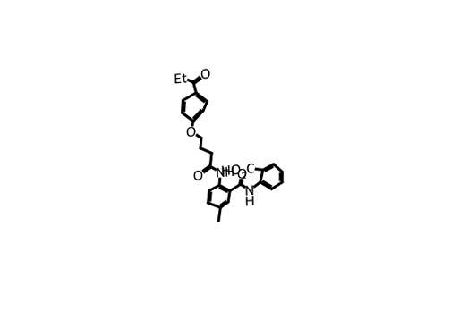 CCC(=O)c1ccc(OCCCC(=O)Nc2ccc(C)cc2C(=O)Nc2ccccc2C(=O)O)cc1